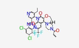 C=CC(=O)N1CCN2c3c(c(=O)n(-c4c(CC)cncc4CC)c4c(=O)n(C5=C(N)C(Cl)=CC(Cl)C5F)c(C(F)(F)F)cc34)OCC[C@H]2C1